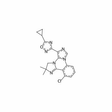 CC1(C)CN2C(=N1)c1c(Cl)cccc1-n1cnc(-c3noc(C4CC4)n3)c12